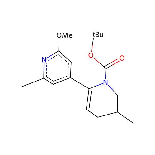 COc1cc(C2=CCC(C)CN2C(=O)OC(C)(C)C)cc(C)n1